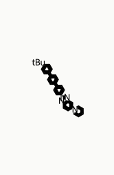 CC(C)(C)c1ccc(-c2ccc(-c3ccc(-n4nc5ccc(N6CCCCC6)cc5n4)cc3)cc2)cc1